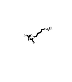 CCOC(=O)CCCCn1nc(Br)nc1Br